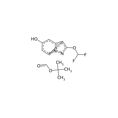 CC(C)(C)OC=O.Oc1cc2c3c(OC(F)F)nn2c3c1